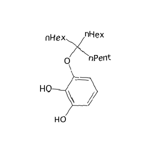 CCCCCCC(CCCCC)(CCCCCC)Oc1cccc(O)c1O